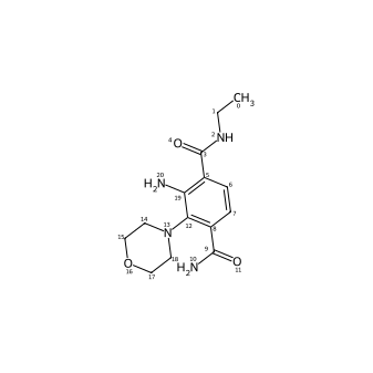 CCNC(=O)c1ccc(C(N)=O)c(N2CCOCC2)c1N